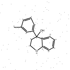 Cc1cccc(C2(O)CCOc3cccnc32)c1